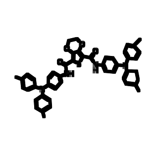 CC1=CC=C(N(c2ccc(C)cc2)c2ccc(NC(=O)c3sc(C(=O)Nc4ccc(N(c5ccc(C)cc5)c5ccc(C)cc5)cc4)c4c3OCCO4)cc2)CC1